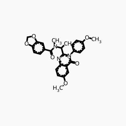 COc1ccc(-n2c(C(C)N(C)C(=O)c3ccc4c(c3)OCO4)nc3ccc(OC)cc3c2=O)cc1